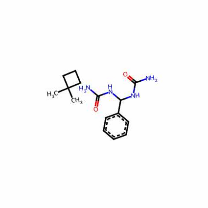 CC1(C)CCC1.NC(=O)NC(NC(N)=O)c1ccccc1